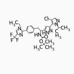 CCn1cc(C(F)(F)F)nc1-c1ccc(CC(NC(=O)OC(C)(C)C)c2cc(-c3c(Cl)cnn3C(C)C)n[nH]2)cc1